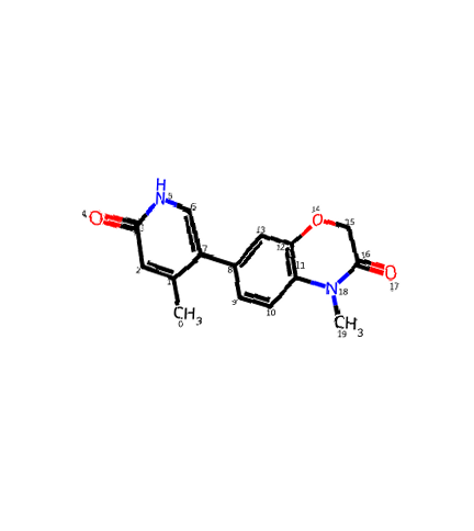 Cc1cc(=O)[nH]cc1-c1ccc2c(c1)OCC(=O)N2C